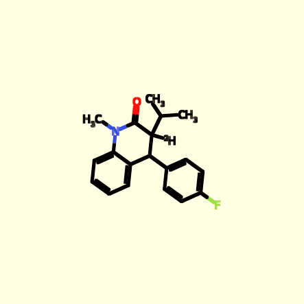 [2H]C1(C(C)C)C(=O)N(C)c2ccccc2C1c1ccc(F)cc1